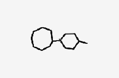 CC1CCN(C2CCCCCCC2)CC1